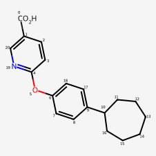 O=C(O)c1ccc(Oc2ccc(C3CCCCCC3)cc2)nc1